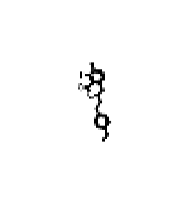 CCc1ccc(CCC2Cc3ccc(C)c(F)c3C(=O)O2)cc1